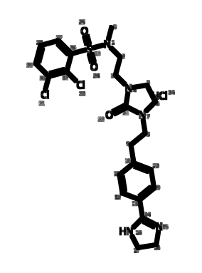 CN(CCN1CCN(CCc2ccc(C3=NCCN3)cc2)C1=O)S(=O)(=O)c1cccc(Cl)c1Cl.Cl